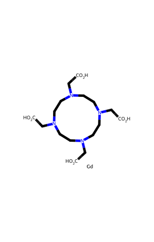 O=C(O)CN1CCN(CC(=O)O)CCN(CC(=O)O)CCN(CC(=O)O)CC1.[Gd]